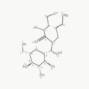 CCCCO[C@@H]1O[C@H](C(O)N(CCCOC)C(=O)N(CCCl)N=O)[C@@H](O)[C@H](O)[C@H]1O